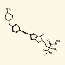 C[C@@](CCN1Cc2cc(C#Cc3ccc(CN4CCC(N)CC4)cc3)cn2C1=O)(C(=O)NO)S(C)(=O)=O